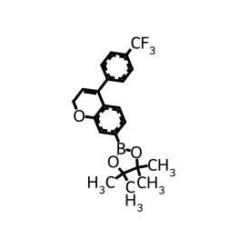 CC1(C)OB(c2ccc3c(c2)OCC=C3c2ccc(C(F)(F)F)cc2)OC1(C)C